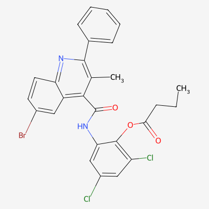 CCCC(=O)Oc1c(Cl)cc(Cl)cc1NC(=O)c1c(C)c(-c2ccccc2)nc2ccc(Br)cc12